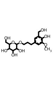 COc1cc(CCCOC2OC(CO)C(O)C(O)C2O)cc(CO)c1O